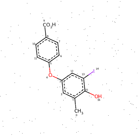 Cc1cc(Oc2ccc(C(=O)O)cc2)cc(I)c1O